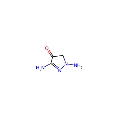 NC1=NN(N)CC1=O